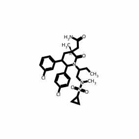 CCC(CN(C)S(=O)(=O)C1CC1)N1C(=O)[C@@](C)(CC(N)=O)CC(c2cccc(Cl)c2)C1c1ccc(Cl)cc1